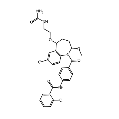 COC1CCC(OCCNC(N)=O)c2cc(Cl)ccc2N1C(=O)c1ccc(NC(=O)c2ccccc2Cl)cc1